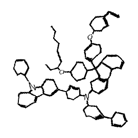 C=CC1=CCC(OC2=CC=C(C3(C4CCC(OC(CC)CCCCCC)CC4)C4=C(C=CC(N(C5C=CC(C6=CC7C8=CC=CCC8N(C8CC=CCC8)C7CC6)CC5)C5CCC=C(C6C=CC=CC6)C5)C4)C4C=CC=CC43)CC2)CC1